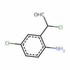 Nc1ccc(Cl)cc1C(Cl)C=O